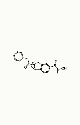 O=C(NO)c1ccc2c(c1)C1CCC2N1C(=O)Cc1ccccc1